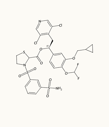 NS(=O)(=O)c1cccc(S(=O)(=O)N2CCSC2C(=O)O[C@@H](Cc2c(Cl)cncc2Cl)c2ccc(OC(F)F)c(OCC3CC3)c2)c1